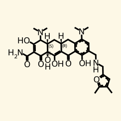 Cc1cc(CNCc2cc(N(C)C)c3c(c2O)C(=O)C2=C(O)[C@]4(O)C(=O)C(C(N)=O)=C(O)C(N(C)C)[C@@H]4C[C@@H]2C3)oc1C